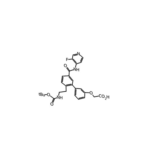 CC(C)(C)OC(=O)NCCc1ccc(C(=O)Nc2ccncc2F)cc1-c1cccc(OCC(=O)O)c1